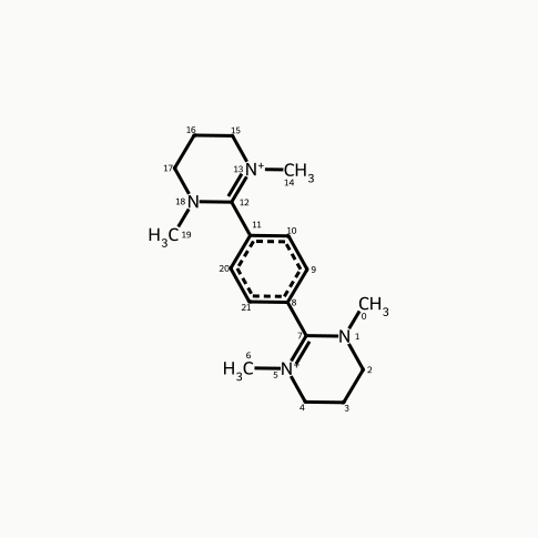 CN1CCC[N+](C)=C1c1ccc(C2=[N+](C)CCCN2C)cc1